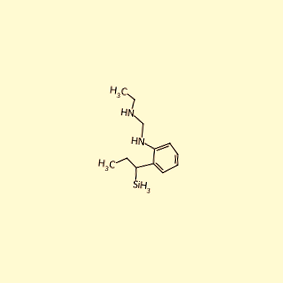 CCNCNc1ccccc1C([SiH3])CC